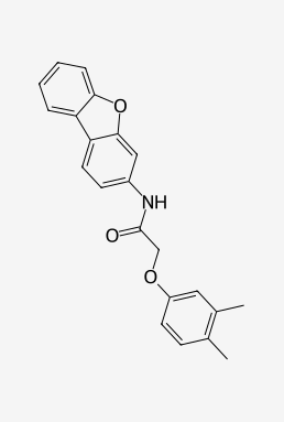 Cc1ccc(OCC(=O)Nc2ccc3c(c2)oc2ccccc23)cc1C